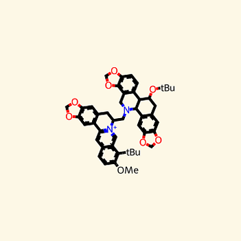 COc1ccc2cc3[n+](cc2c1C(C)(C)C)C(CN1Cc2c(ccc4c2OCO4)C2C(OC(C)(C)C)Cc4cc5c(cc4C21)OCO5)Cc1cc2c(cc1-3)OCO2